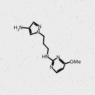 COc1ccnc(NCCCn2cc(N)cn2)n1